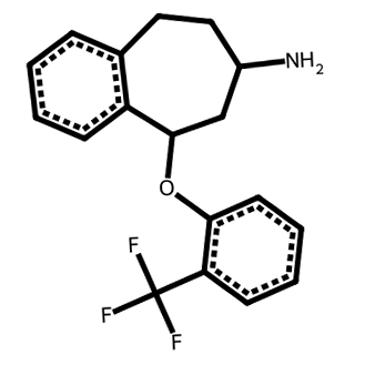 NC1CCc2ccccc2C(Oc2ccccc2C(F)(F)F)C1